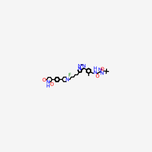 Cc1cc(-c2ncnn3cc(CCCC(F)CN4CCC(c5ccc(C6CCC(=O)NC6=O)cc5)CC4)cc23)ccc1CNC(=O)c1noc(C(C)(C)C)n1